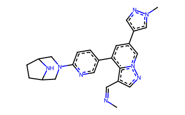 C/N=C\c1cnn2cc(-c3cnn(C)c3)cc(-c3ccc(N4CC5CCC(C4)N5)nc3)c12